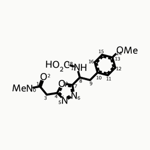 CNC(=O)Cc1nnc(C(Cc2ccc(OC)cc2)NC(=O)O)o1